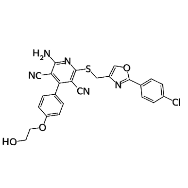 N#Cc1c(N)nc(SCc2coc(-c3ccc(Cl)cc3)n2)c(C#N)c1-c1ccc(OCCO)cc1